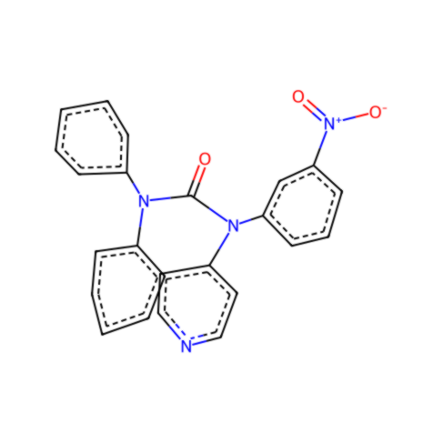 O=C(N(c1ccccc1)c1ccccc1)N(c1ccncc1)c1cccc([N+](=O)[O-])c1